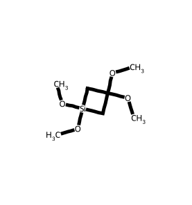 COC1(OC)C[Si](OC)(OC)C1